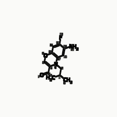 CC(C)CN1C(C=O)=COc2cc(F)c(N)cc21